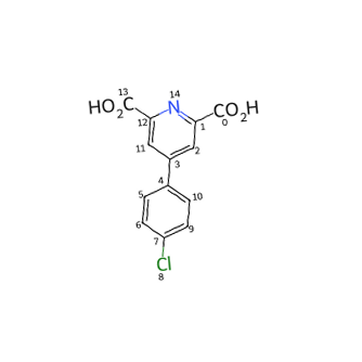 O=C(O)c1cc(-c2ccc(Cl)cc2)cc(C(=O)O)n1